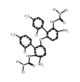 CCN(CC)C(=O)Nc1c([N+](=O)[O-])ccc(Oc2ccc([N+](=O)[O-])c(NC(=O)N(CC)CC)c2-c2ccc(C(F)(F)F)cc2Cl)c1-c1ccc(C(F)(F)F)cc1Cl